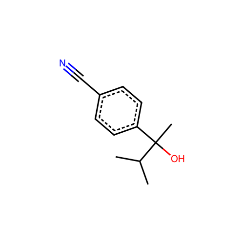 CC(C)C(C)(O)c1ccc(C#N)cc1